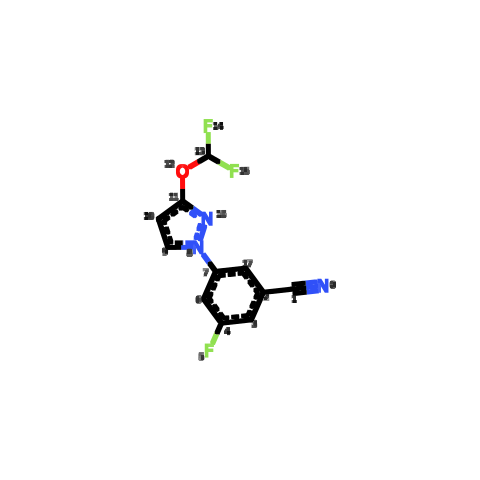 N#Cc1cc(F)cc(-n2ccc(OC(F)F)n2)c1